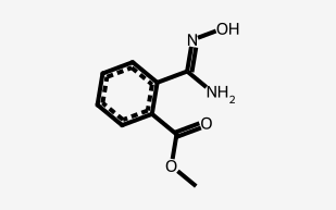 COC(=O)c1ccccc1C(N)=NO